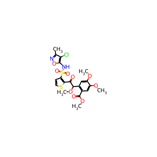 COC(=O)c1cc(OC)c(OC)cc1C(OC)C(=O)c1sccc1S(=O)(=O)Nc1onc(C)c1Cl